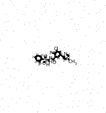 Cn1cnc(-c2cc(Cl)c(F)c(C(=O)NNS(=O)(=O)c3ccccc3F)c2)c1